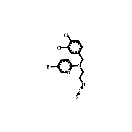 S=C=NCCN(Cc1ccc(Cl)c(Cl)c1)c1ccc(Br)cn1